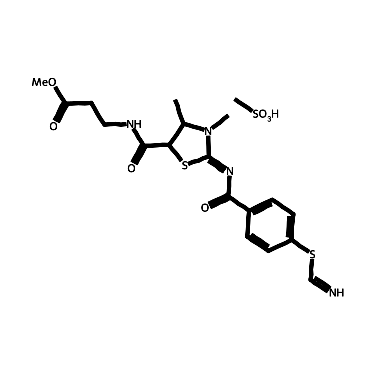 COC(=O)CCNC(=O)C1SC(=NC(=O)c2ccc(SC=N)cc2)N(C)C1C.CS(=O)(=O)O